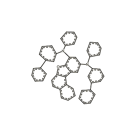 c1ccc(-c2cccc(N(c3ccccc3)c3cc(N(c4ccccc4)c4cccc(-c5ccccc5)c4)c4oc5ccc6ccccc6c5c4c3)c2)cc1